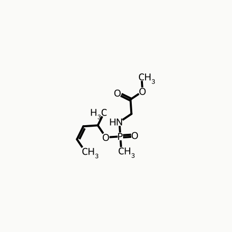 C/C=C\C(C)OP(C)(=O)NCC(=O)OC